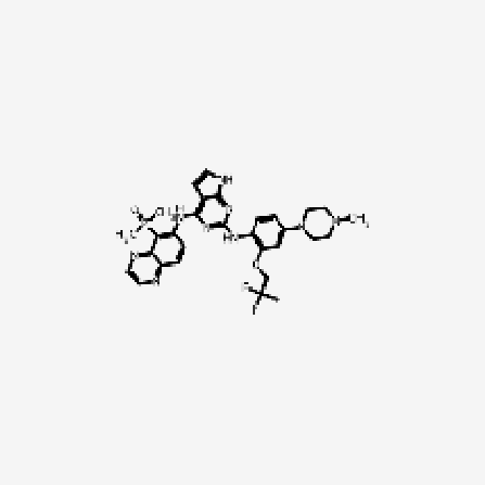 CN1CCN(c2ccc(Nc3nc(Nc4ccc5nccnc5c4P(C)(C)=O)c4cc[nH]c4n3)c(OCC(F)(F)F)c2)CC1